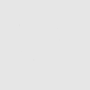 CCOP(=O)(COS(=O)(=O)c1c(Cl)cccc1SCC)OC(C)C